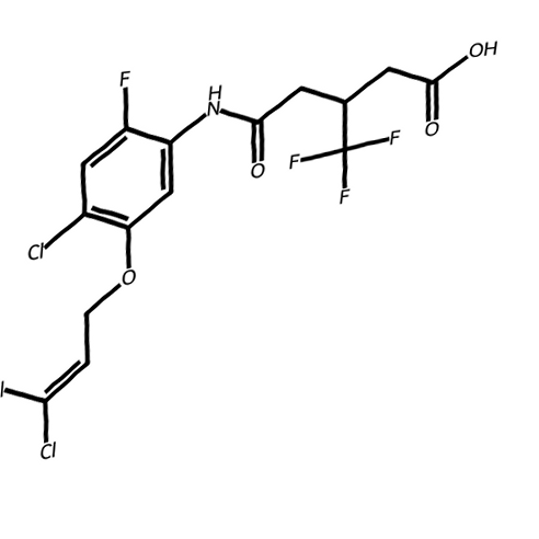 O=C(O)CC(CC(=O)Nc1cc(OCC=C(Cl)Cl)c(Cl)cc1F)C(F)(F)F